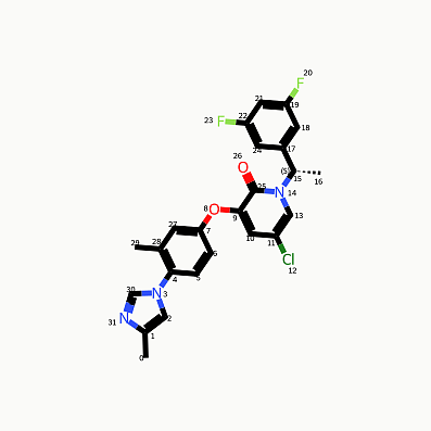 Cc1cn(-c2ccc(Oc3cc(Cl)cn([C@@H](C)c4cc(F)cc(F)c4)c3=O)cc2C)cn1